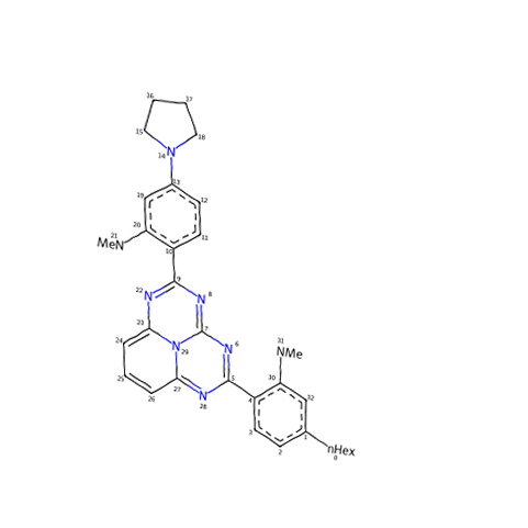 CCCCCCc1ccc(C2=NC3=NC(c4ccc(N5CCCC5)cc4NC)=NC4=CC=CC(=N2)N43)c(NC)c1